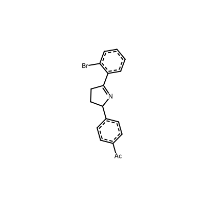 CC(=O)c1ccc(C2CCC(c3ccccc3Br)=N2)cc1